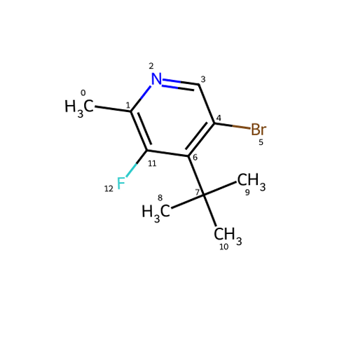 Cc1ncc(Br)c(C(C)(C)C)c1F